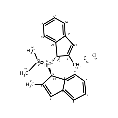 CC1=Cc2ccccc2[C@@H]1[Hf+2]([C@H]1C(C)=Cc2ccccc21)=[Si](C)C.[Cl-].[Cl-]